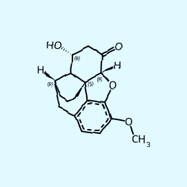 COc1ccc2c3c1O[C@H]1C(=O)C[C@@H](O)C4[C@H](CCC[C@@]341)C2